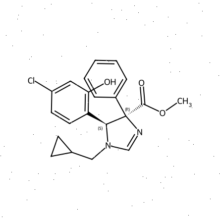 COC(=O)[C@]1(c2ccccc2)N=CN(CC2CC2)[C@H]1c1ccc(Cl)cc1O